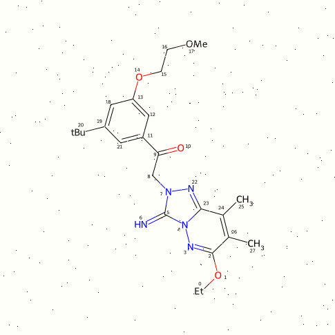 CCOc1nn2c(=N)n(CC(=O)c3cc(OCCOC)cc(C(C)(C)C)c3)nc2c(C)c1C